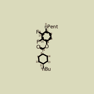 CCCCCc1ccc(OC(=O)[C@H]2CC[C@H](CCCC)CC2)c(F)c1F